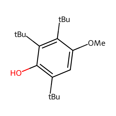 COc1cc(C(C)(C)C)c(O)c(C(C)(C)C)c1C(C)(C)C